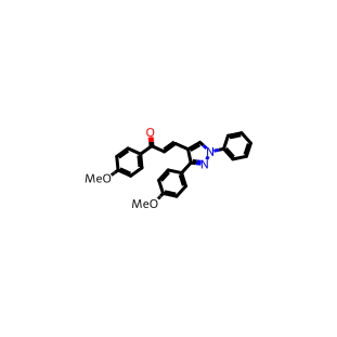 COc1ccc(C(=O)C=Cc2cn(-c3ccccc3)nc2-c2ccc(OC)cc2)cc1